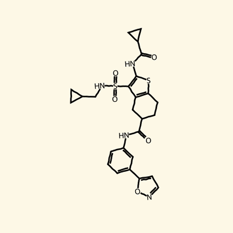 O=C(Nc1cccc(-c2ccno2)c1)C1CCc2sc(NC(=O)C3CC3)c(S(=O)(=O)NCC3CC3)c2C1